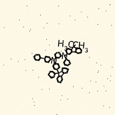 CC1(C)c2ccccc2-c2cc(N(c3ccccc3)c3cccc(N(c4ccc(-c5ccccc5)cc4)c4ccc(C5(c6ccccc6)c6ccccc6-c6ccccc65)cc4)c3)ccc21